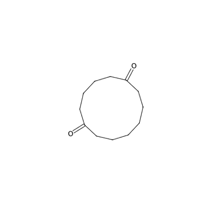 O=C1CCCCCCC(=O)CCCC1